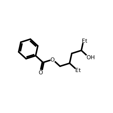 CCC(O)CC(CC)COC(=O)c1ccccc1